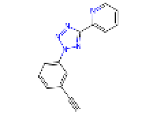 C#Cc1cccc(-n2nnc(-c3ccccn3)n2)c1